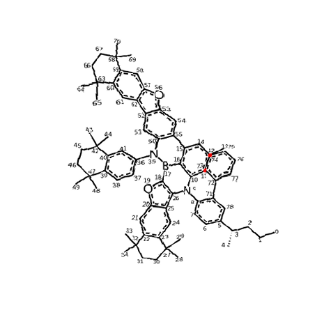 CCC[C@H](C)c1ccc(N2c3cc(C)cc4c3B(c3oc5cc6c(cc5c32)C(C)(C)CCC6(C)C)N(c2ccc3c(c2)C(C)(C)CCC3(C)C)c2cc3c(cc2-4)oc2cc4c(cc23)C(C)(C)CCC4(C)C)c(-c2ccccc2)c1